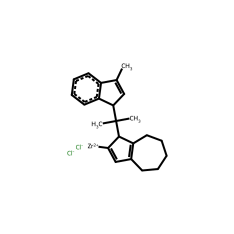 CC1=CC(C(C)(C)C2[C]([Zr+2])=CC3=C2CCCCC3)c2ccccc21.[Cl-].[Cl-]